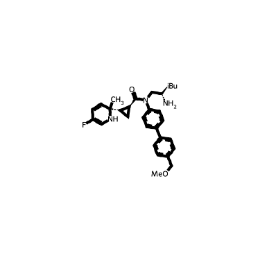 CC[C@H](C)[C@H](N)CN(C(=O)[C@H]1C[C@@H]1C1(C)C=CC(F)=CN1)c1ccc(-c2ccc(COC)cc2)cc1